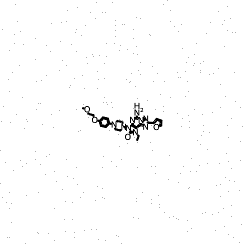 CCn1c(=O)n(N2CCN(c3ccc(OCCOC)cc3)CC2)c2nc(N)n3nc(-c4ccco4)nc3c21